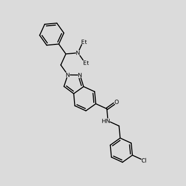 CCN(CC)C(Cn1cc2ccc(C(=O)NCc3cccc(Cl)c3)cc2n1)c1ccccc1